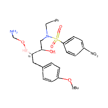 CCCCOc1ccc(C[C@H](BOCN)C(O)CN(CC(C)C)S(=O)(=O)c2ccc([N+](=O)[O-])cc2)cc1